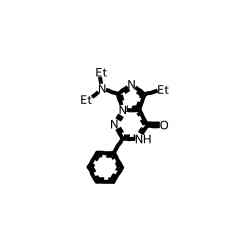 CCc1nc(N(CC)CC)n2nc(-c3ccccc3)[nH]c(=O)c12